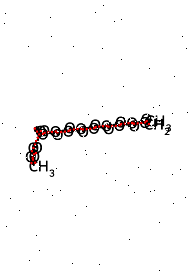 C=C(C)C(=O)OCCCCCC(=O)OCCCCCC(=O)OCCCCCC(=O)OCCCCCC(=O)OCCCCCC(=O)OCCCCCC(=O)OCCCCCC(=O)OCCCCCC(=O)OC(CCCCCCCC(=O)Oc1ccc(OC(=O)c2ccc(C)cc2)cc1)Oc1ccccc1